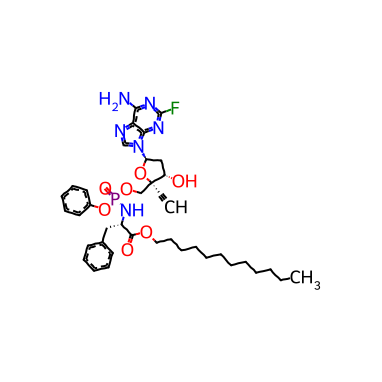 C#C[C@]1(COP(=O)(N[C@@H](Cc2ccccc2)C(=O)OCCCCCCCCCCCC)Oc2ccccc2)O[C@@H](n2cnc3c(N)nc(F)nc32)C[C@@H]1O